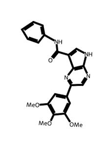 COc1cc(-c2cnc3[nH]cc(C(=O)Nc4ccccc4)c3n2)cc(OC)c1OC